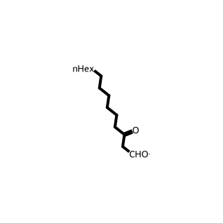 CCCCCCCCCCCCC(=O)C[C]=O